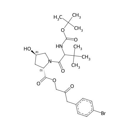 CC(C)(C)OC(=O)NC(C(=O)N1C[C@H](O)C[C@H]1C(=O)OCC(=O)Cc1ccc(Br)cc1)C(C)(C)C